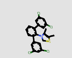 CC1=C(C)N(c2c(-c3cc(Cl)cc(Cl)c3)cccc2-c2cc(Cl)cc(Cl)c2)CS1